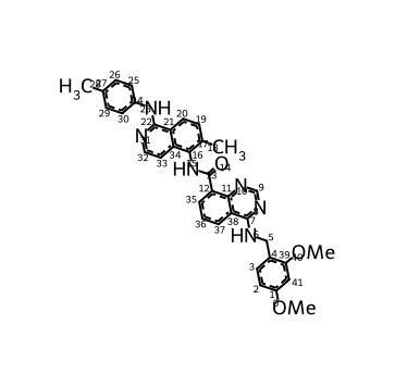 COc1ccc(CNc2ncnc3c(C(=O)Nc4c(C)ccc5c(Nc6ccc(C)cc6)nccc45)cccc23)c(OC)c1